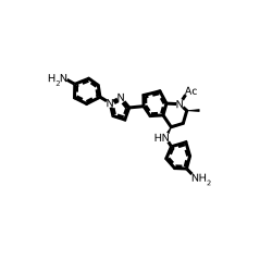 CC(=O)N1c2ccc(-c3ccn(-c4ccc(N)cc4)n3)cc2[C@H](Nc2ccc(N)cc2)C[C@@H]1C